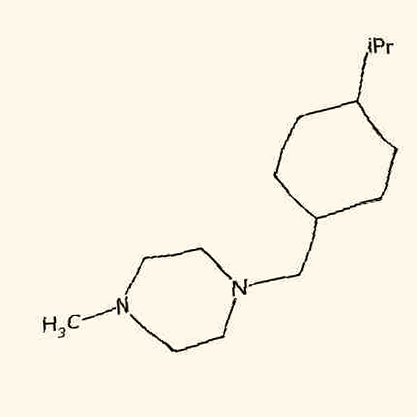 CC(C)C1CCC(CN2CCN(C)CC2)CC1